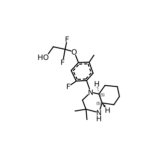 Cc1cc(N2CC(C)(C)N[C@H]3CCCC[C@@H]32)c(F)cc1OC(F)(F)CO